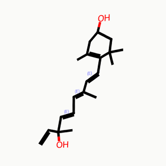 C=CC(C)(O)/C=C/C=C(C)/C=C/C1=C(C)CC(O)CC1(C)C